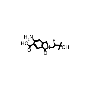 CC(C)(O)C(F)CN1Cc2cc(N)c(C(=O)O)cc2C1=O